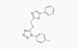 Cc1ccc(-n2nnnc2SCc2ncc(-c3ccccc3)o2)cc1